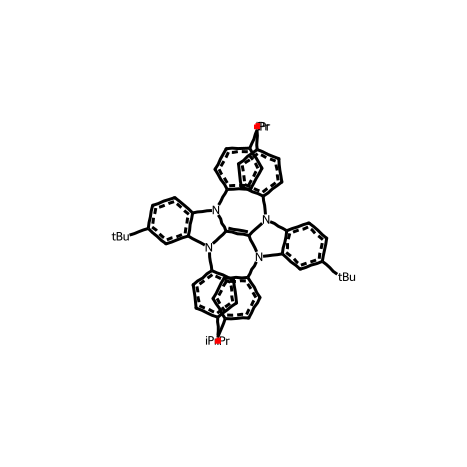 CC(C)c1ccc(N2/C(=C3\N(c4ccc(C(C)C)cc4)c4ccc(C(C)(C)C)cc4N3c3ccc(C(C)C)cc3)N(c3ccc(C(C)C)cc3)c3cc(C(C)(C)C)ccc32)cc1